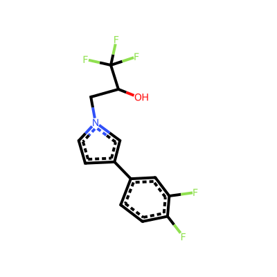 OC(Cn1ccc(-c2ccc(F)c(F)c2)c1)C(F)(F)F